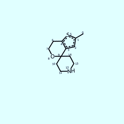 Cc1cc2c(s1)CCOC21CCNCC1